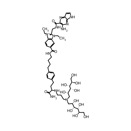 CCn1c(CNC(=O)c2nc3cc[nH]c3nc2N)[n+](CC)c2ccc(C(=O)NCCCCc3ccc(CCC(NCCCN(C[C@H](O)[C@@H](O)[C@H](O)[C@H](O)CO)C[C@H](O)[C@@H](O)[C@H](O)[C@H](O)CO)C(N)=O)cc3)cc21